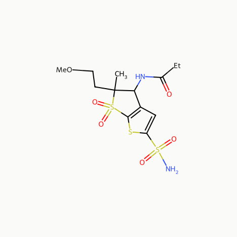 CCC(=O)NC1c2cc(S(N)(=O)=O)sc2S(=O)(=O)C1(C)CCOC